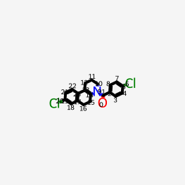 O=C(c1ccc(Cl)cc1)N1CCCC2=C1CCc1cc(Cl)ccc12